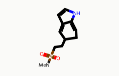 CNS(=O)(=O)CCC1C=c2cc[nH]c2=CC1